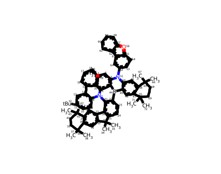 Cc1cc2c3c(c1)N(c1ccc(C(C)(C)C)cc1-c1ccccc1)c1c(ccc4c1-c1cc5c(cc1C4(C)C)C(C)(C)CCC5(C)C)B3c1cc3c(cc1N2c1ccc2oc4ccccc4c2c1)C(C)(C)CCC3(C)C